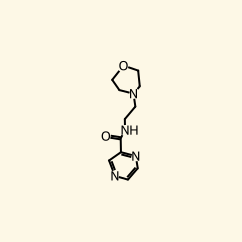 O=C(NCCN1CCOCC1)c1cnccn1